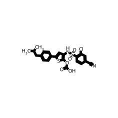 CC(C)Cc1ccc(-c2cc(NS(=O)(=O)c3ccc(C#N)cc3Cl)c(OC(=O)O)s2)cc1